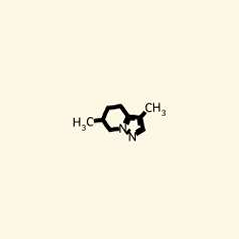 Cc1cnn2c1CCC(C)C2